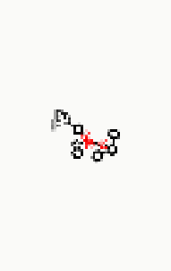 CC(C)CC(c1ccc(OC(OCCOc2c(-c3ccccc3)cccc2-c2ccccc2)C2C=Cc3ccccc32)cc1)C(C)C